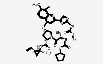 C=C[C@@H]1C[C@]1(NC(=O)[C@@H]1C[C@@H](Oc2cc(-c3csc(NC(=O)OC(C)C)n3)nc3c(C)c(OC)ccc23)CN1C(=O)[C@@H](NC(=O)OC1CCCC1)C(C)(C)C)C(=O)O